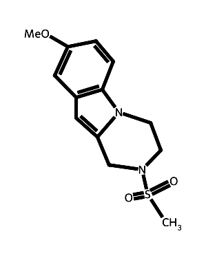 COc1ccc2c(c1)cc1n2CCN(S(C)(=O)=O)C1